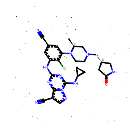 C[C@H]1CN(C[C@@H]2CNC(=O)C2)CCN1c1cc(C#N)cc(Nc2nc(NC3CC3)n3ncc(C#N)c3n2)c1Cl